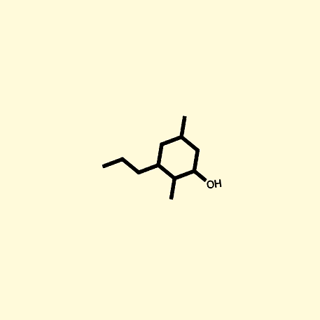 CCCC1CC(C)CC(O)C1C